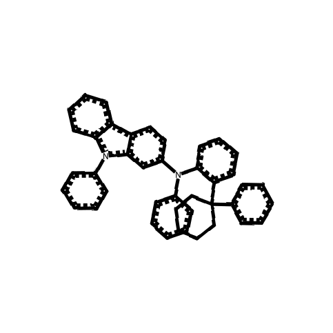 c1ccc(N(c2ccc3c4ccccc4n(-c4ccccc4)c3c2)c2ccccc2C2(c3ccccc3)CCCCC2)cc1